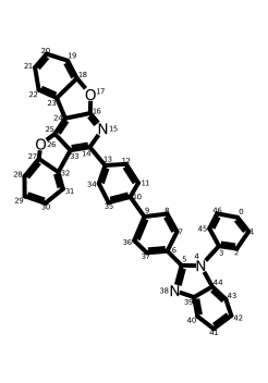 c1ccc(-n2c(-c3ccc(-c4ccc(-c5nc6oc7ccccc7c6c6oc7ccccc7c56)cc4)cc3)nc3ccccc32)cc1